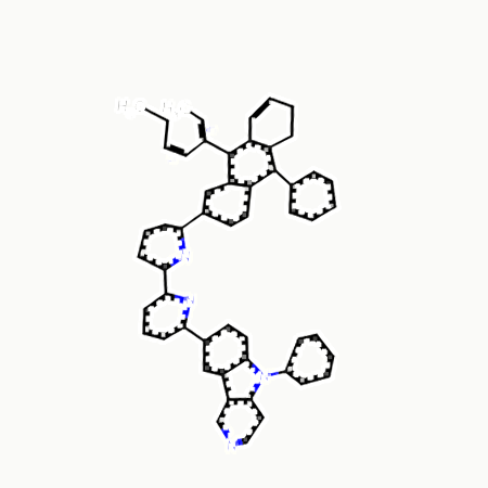 C/C=C(\C=C/CC)c1c2c(c(-c3ccccc3)c3ccc(-c4cccc(-c5cccc(-c6ccc7c(c6)c6cnccc6n7-c6ccccc6)n5)n4)cc13)CCC=C2